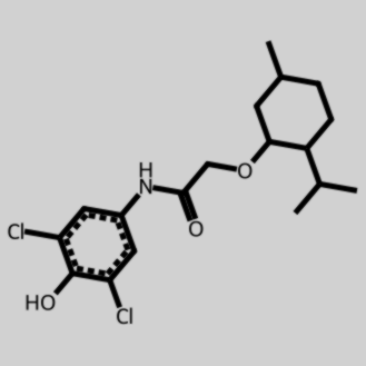 CC1CCC(C(C)C)C(OCC(=O)Nc2cc(Cl)c(O)c(Cl)c2)C1